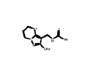 COc1nn2c(c1CNC(=O)C(C)(C)C)NCCC2